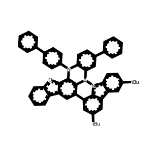 CC(C)(C)c1ccc2c(c1)c1cc(C(C)(C)C)cc3c1n2B1c2cc(-c4ccccc4)ccc2N(c2ccc(-c4ccccc4)cc2)c2c1c-3cc1c2oc2ccccc21